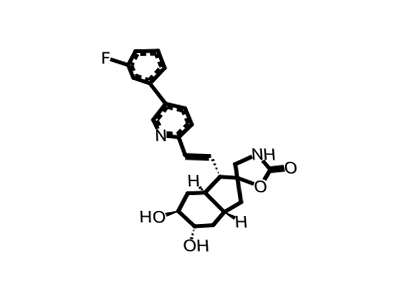 O=C1NCC2(C[C@@H]3C[C@H](O)[C@@H](O)C[C@H]3[C@@H]2/C=C/c2ccc(-c3cccc(F)c3)cn2)O1